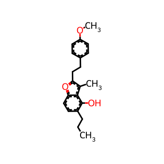 CCCc1ccc2oc(CCc3ccc(OC)cc3)c(C)c2c1O